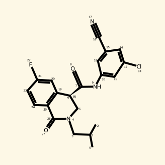 CC(C)CN1C[C@H](C(=O)Nc2cc(Cl)cc(C#N)c2)c2cc(F)ccc2C1=O